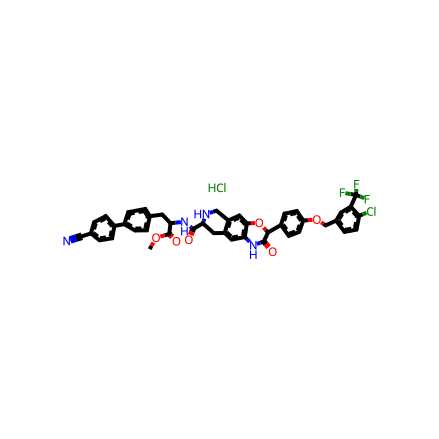 COC(=O)C(Cc1ccc(-c2ccc(C#N)cc2)cc1)NC(=O)C1Cc2cc3c(cc2CN1)OC(c1ccc(OCc2ccc(Cl)c(C(F)(F)F)c2)cc1)C(=O)N3.Cl